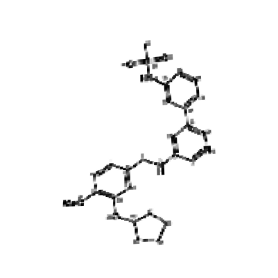 COc1ccc(CNc2cncc(-c3cccc(NS(C)(=O)=O)c3)c2)cc1OC1CCCC1